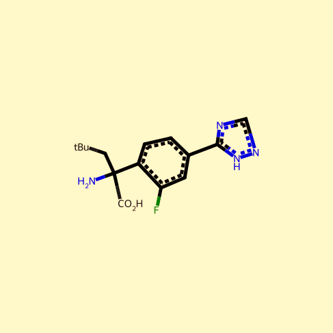 CC(C)(C)CC(N)(C(=O)O)c1ccc(-c2ncn[nH]2)cc1F